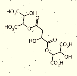 O=C(CC(O)C(=O)OC(C(=O)O)C(O)C(=O)O)OC(C(=O)O)C(O)C(=O)O